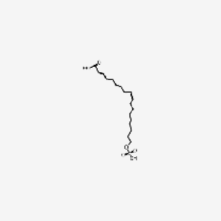 O=C(O)CCCCCCC/C=C\CCCCCCCCOS(=O)(=O)O